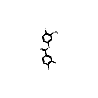 Cc1cc(OC(=O)c2ccc(F)c(F)c2)ccc1F